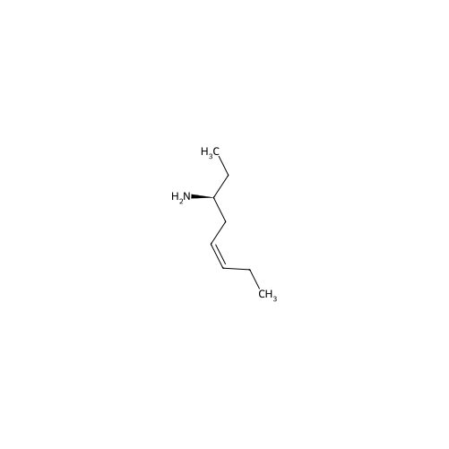 CC/C=C\C[C@@H](N)CC